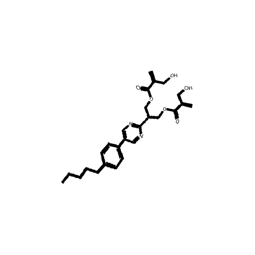 C=C(CO)C(=O)OCC(COC(=O)C(=C)CO)c1ncc(-c2ccc(CCCCC)cc2)cn1